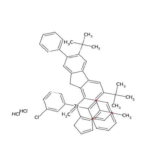 Cl.Cl.[CH2]=[Zr]([C]1=CC=CC1)([c]1ccc(C)cc1)([c]1cccc(Cl)c1)[c]1c2c(cc(C(C)(C)C)c1-c1ccccc1)-c1cc(C(C)(C)C)c(-c3ccccc3)cc1C2